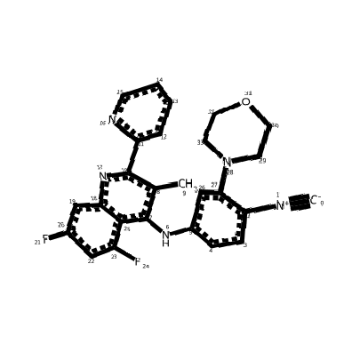 [C-]#[N+]c1ccc(Nc2c(C)c(-c3ccccn3)nc3cc(F)cc(F)c23)cc1N1CCOCC1